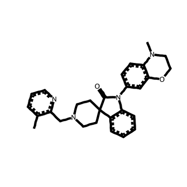 Cc1cccnc1CN1CCC2(CC1)C(=O)N(c1ccc3c(c1)OCCN3C)c1ccccc12